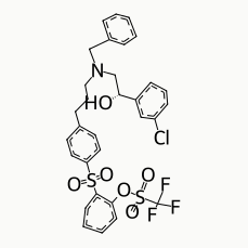 O=S(=O)(c1ccc(CCCN(Cc2ccccc2)C[C@@H](O)c2cccc(Cl)c2)cc1)c1ccccc1OS(=O)(=O)C(F)(F)F